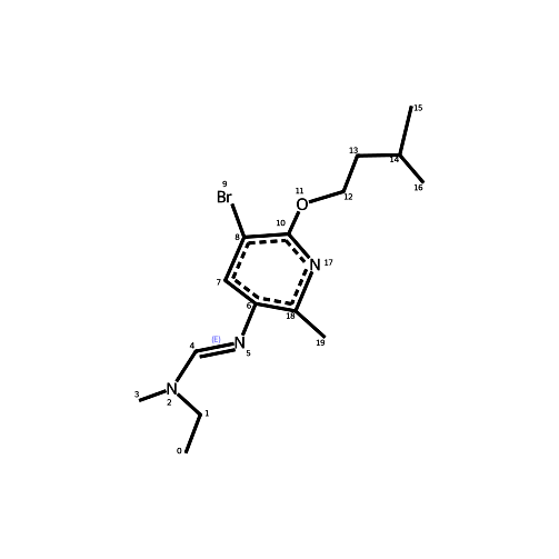 CCN(C)/C=N/c1cc(Br)c(OCCC(C)C)nc1C